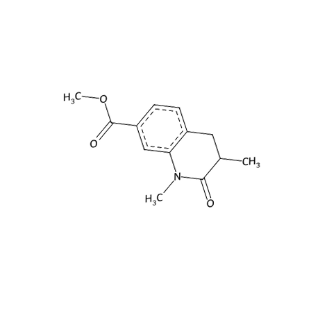 COC(=O)c1ccc2c(c1)N(C)C(=O)C(C)C2